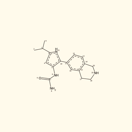 CC(C)c1cc(NC(N)=O)c(-c2ccc3c(c2)CCNC3)[nH]1